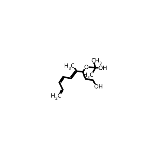 C=C/C=C\C=C(/C)C(CCO)OC(C)(C)O